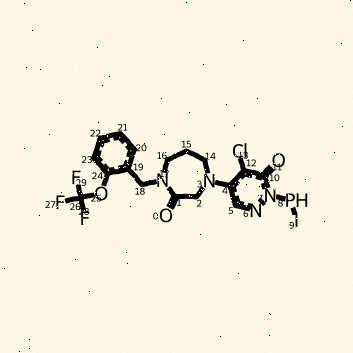 O=C1CN(c2cnn(PI)c(=O)c2Cl)CCCN1Cc1ccccc1OC(F)(F)F